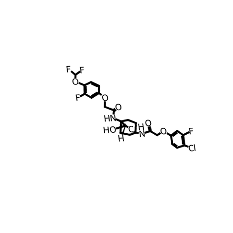 O=C(COc1ccc(Cl)c(F)c1)NC12CCC(NC(=O)COc3ccc(OC(F)F)c(F)c3)(CC1)[C@@H](O)C2